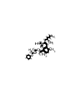 C=C1CC=C(C(=C)OC(C)OC(=O)OC2CCCCC2)C2=C1C[C@H](CC(O)CCCC(C)=O)B(O)O2